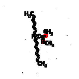 CCCCCCCCCCCCCCCC.CO[SiH](C)OC